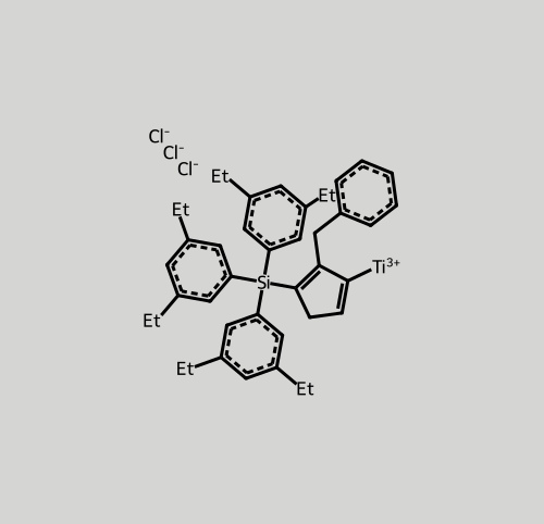 CCc1cc(CC)cc([Si](C2=C(Cc3ccccc3)[C]([Ti+3])=CC2)(c2cc(CC)cc(CC)c2)c2cc(CC)cc(CC)c2)c1.[Cl-].[Cl-].[Cl-]